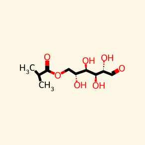 CC(C)C(=O)OC[C@@H](O)[C@@H](O)[C@H](O)[C@H](O)C=O